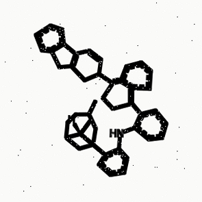 CC1CCC2CC(c3ccccc3Nc3ccccc3C3=c4ccccc4=C(C4C=CC5=C(Cc6ccccc65)C4)CC3)(C1)[C@H]2C